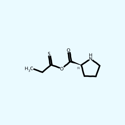 CCC(=S)OC(=O)[C@@H]1CCCN1